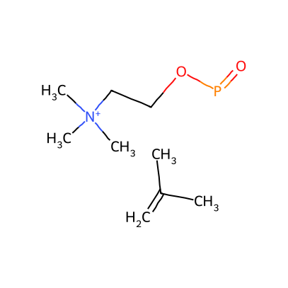 C=C(C)C.C[N+](C)(C)CCOP=O